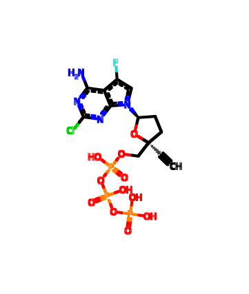 C#C[C@@]1(COP(=O)(O)OP(=O)(O)OP(=O)(O)O)CC[C@H](n2cc(F)c3c(N)nc(Cl)nc32)O1